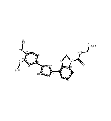 CCOC(=O)CNC(=O)N1CCc2c(-c3noc(-c4ccc(OCC)c(OCC)c4)n3)cccc21